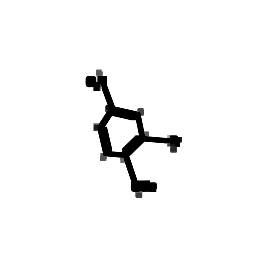 COc1ccc([N+](=O)[O-])cc1C(C)C